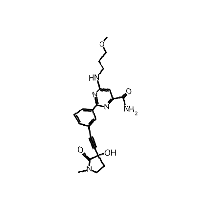 COCCCNc1cc(C(N)=O)nc(-c2cccc(C#C[C@]3(O)CCN(C)C3=O)c2)n1